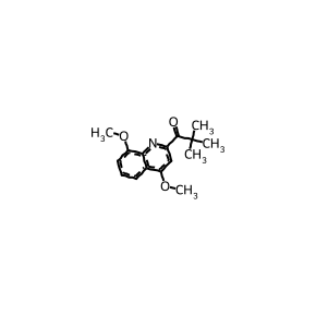 COc1cc(C(=O)C(C)(C)C)nc2c(OC)cccc12